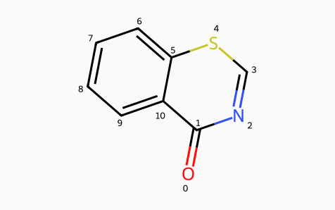 O=c1ncsc2ccccc12